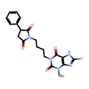 CCCCn1c(=O)n(CCCCN2C(=O)CC(c3ccccc3)C2=O)c(=O)c2[nH]c(Cl)nc21